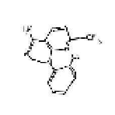 NC1=NCN(c2ccccc2Cl)c2nc(C(F)(F)F)ccc21